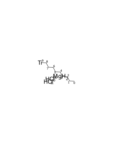 CCCCCCCC[CH2][Ti].Cl.Cl.[MgH2]